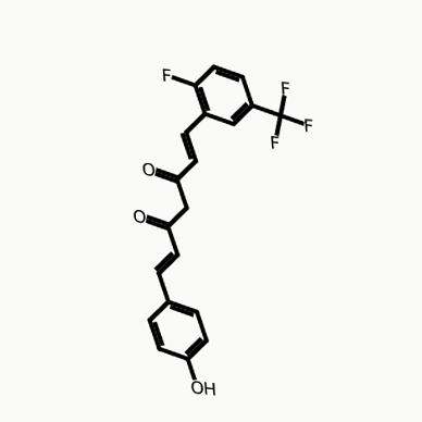 O=C(/C=C/c1ccc(O)cc1)CC(=O)/C=C/c1cc(C(F)(F)F)ccc1F